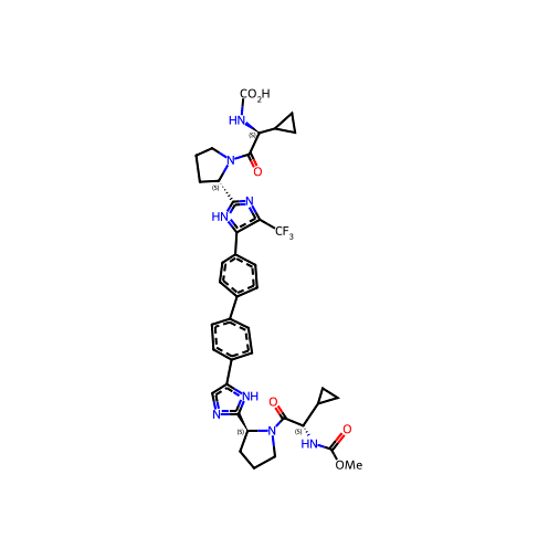 COC(=O)N[C@H](C(=O)N1CCC[C@H]1c1ncc(-c2ccc(-c3ccc(-c4[nH]c([C@@H]5CCCN5C(=O)[C@@H](NC(=O)O)C5CC5)nc4C(F)(F)F)cc3)cc2)[nH]1)C1CC1